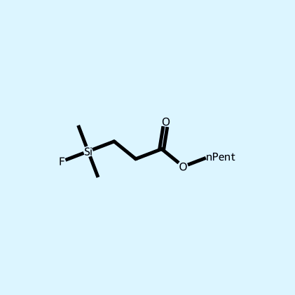 CCCCCOC(=O)CC[Si](C)(C)F